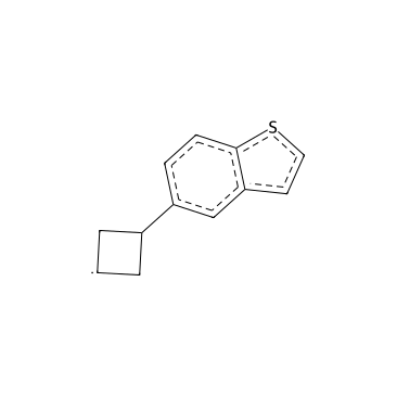 [CH]1CC(c2ccc3sccc3c2)C1